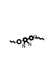 CCCCCOc1ccc(-c2ccc([C@H]3CC[C@H](CCCC)CC3)c(C#N)c2C#N)cc1